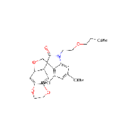 COCCOCCN1C(=O)C2(COC3C=C4OCCOC4=CC32)c2c(OC)cc(OC)cc21